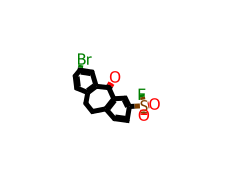 O=C1c2cc(Br)ccc2CCc2ccc(S(=O)(=O)F)cc21